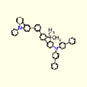 CC1(C)c2cc(-c3cccc(-c4ccc5c(c4)c4c(n5-c5ccccc5)C=CCC4)c3)ccc2-c2ccc(N(c3ccc(-c4ccccc4)cc3)c3ccc(-c4ccccc4)cc3)cc21